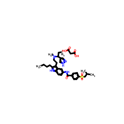 CCCCc1[nH]c2ccc(NC(=O)c3ccc(S(=O)(=O)CC(C)C)cc3)cc2c1CCN(C)C(CC)c1cn[nH]c1.O=C(O)CC(=O)O